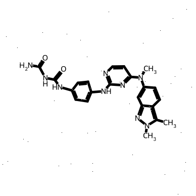 Cc1c2ccc(N(C)c3ccnc(Nc4ccc(NC(=O)NC(N)=O)cc4)n3)cc2nn1C